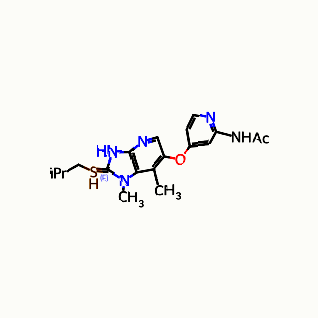 CC(=O)Nc1cc(Oc2cnc3[nH]/c(=[SH]\CC(C)C)n(C)c3c2C)ccn1